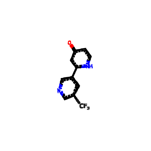 O=c1cc[nH]c(-c2cncc(C(F)(F)F)c2)c1